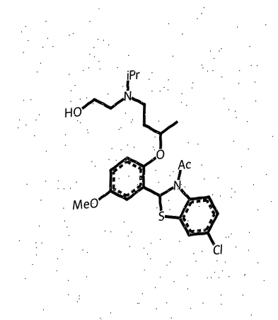 COc1ccc(OC(C)CCN(CCO)C(C)C)c(C2Sc3cc(Cl)ccc3N2C(C)=O)c1